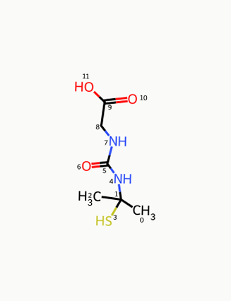 CC(C)(S)NC(=O)NCC(=O)O